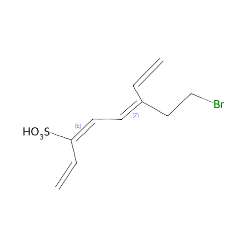 C=C/C(=C\C=C(/C=C)S(=O)(=O)O)CCBr